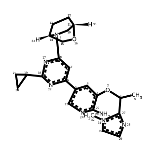 CC(Oc1cc(-c2cc(N3C[C@@H]4CC[C@H]3CO4)nc(C3CC3)n2)cnc1N)c1nccn1C